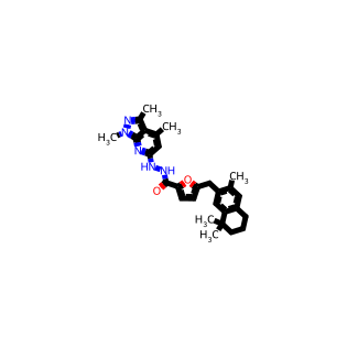 Cc1cc2c(cc1Cc1ccc(C(=O)NNc3cc(C)c4c(C)nn(C)c4n3)o1)C(C)(C)CCC2